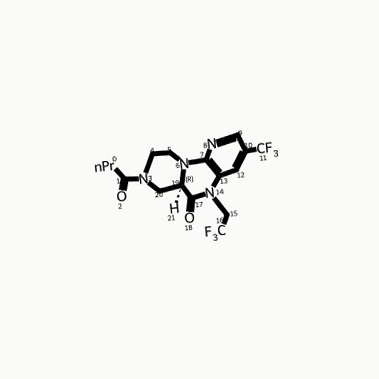 CCCC(=O)N1CCN2c3ncc(C(F)(F)F)cc3N(CC(F)(F)F)C(=O)[C@H]2C1